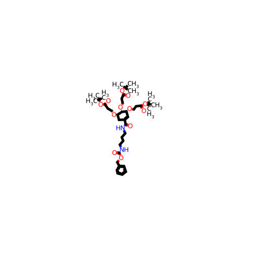 CC(C)(C)OC(=O)CCO[C@@H]1[C@H](OCCC(=O)OC(C)(C)C)C=C(C(=O)NCCCCNC(=O)OCc2ccccc2)C[C@H]1OCCC(=O)OC(C)(C)C